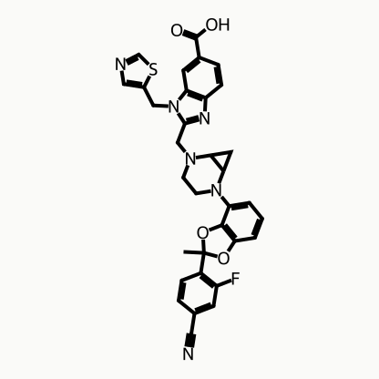 CC1(c2ccc(C#N)cc2F)Oc2cccc(N3CCN(Cc4nc5ccc(C(=O)O)cc5n4Cc4cncs4)C4CC43)c2O1